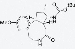 COc1ccc2c(c1)CCNC(=O)C[C@H]1[C@H](NC(=O)OC(C)(C)C)[C@@H](C)C[C@H]21